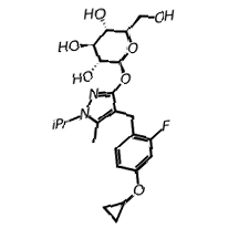 Cc1c(Cc2ccc(OC3CC3)cc2F)c(O[C@@H]2O[C@H](CO)[C@@H](O)[C@H](O)[C@H]2O)nn1C(C)C